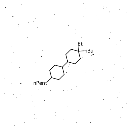 CCCCCC1CCC(C2CCC(CC)(CCCC)CC2)CC1